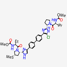 CC[C@H](NC(=O)OC)C(=O)N1C[C@@H](SC)C[C@H]1c1nc(-c2ccc(-c3ccc(-c4nc([C@@H]5CCCN5C(=O)[C@@H](NC(=O)OC)C(C)C)[nH]c4Cl)cc3)cc2)c[nH]1